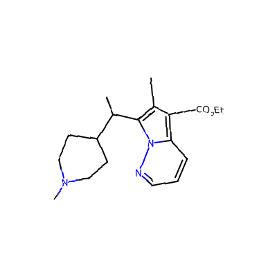 CCOC(=O)c1c(C)c(C(C)C2CCN(C)CC2)n2ncccc12